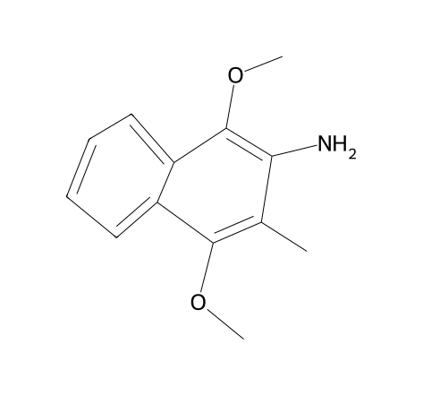 COc1c(C)c(N)c(OC)c2ccccc12